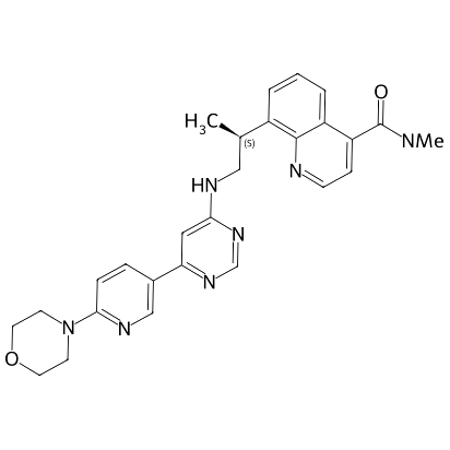 CNC(=O)c1ccnc2c([C@H](C)CNc3cc(-c4ccc(N5CCOCC5)nc4)ncn3)cccc12